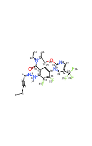 CCC#C/C=N\N(C)c1c(C(=O)N(CC)C(C)COc2ncc(C(F)(F)F)cn2)ccc(F)c1F